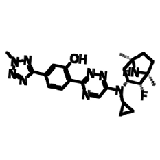 Cn1nnc(-c2ccc(-c3ncc(N(C4CC4)[C@@H]4C[C@@]5(C)CC[C@](C)(N5)[C@@H]4F)nn3)c(O)c2)n1